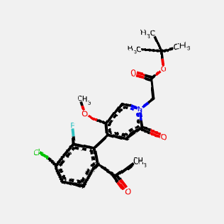 COc1cn(CC(=O)OC(C)(C)C)c(=O)cc1-c1c(C(C)=O)ccc(Cl)c1F